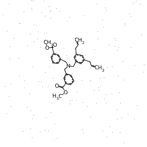 C=CCc1cc(CC=C)cc(CN(Cc2cccc(C(=O)OC)c2)Cc2cccc(C(=O)OC)c2)c1